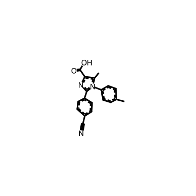 Cc1ccc(-n2c(-c3ccc(C#N)cc3)nc(C(=O)O)c2C)cc1